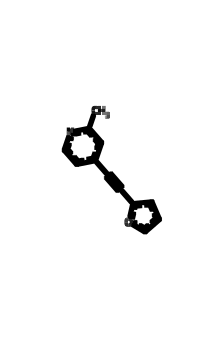 Cc1cc(C#Cc2ccco2)ccn1